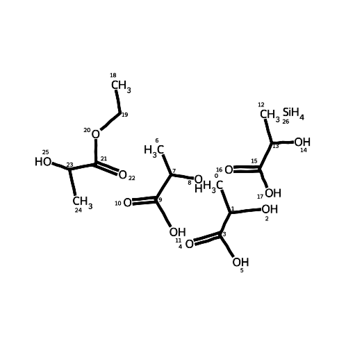 CC(O)C(=O)O.CC(O)C(=O)O.CC(O)C(=O)O.CCOC(=O)C(C)O.[SiH4]